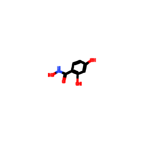 O=C(NO)c1ccc(O)cc1O